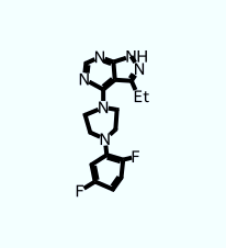 CCc1n[nH]c2ncnc(N3CCN(c4cc(F)ccc4F)CC3)c12